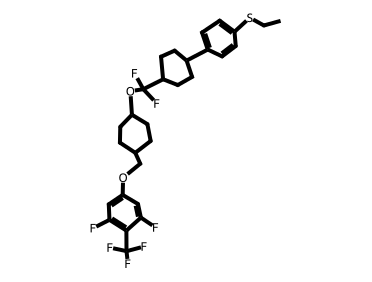 CCSc1ccc(C2CCC(C(F)(F)OC3CCC(COc4cc(F)c(C(F)(F)F)c(F)c4)CC3)CC2)cc1